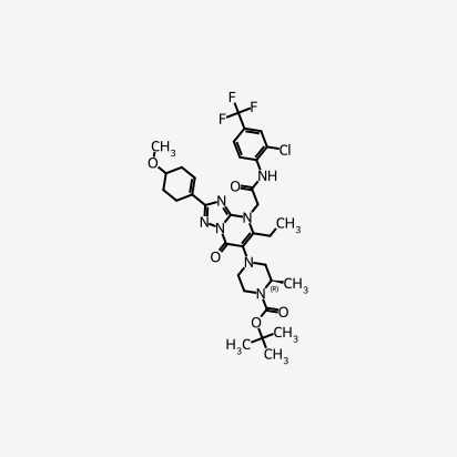 CCc1c(N2CCN(C(=O)OC(C)(C)C)[C@H](C)C2)c(=O)n2nc(C3=CCC(OC)CC3)nc2n1CC(=O)Nc1ccc(C(F)(F)F)cc1Cl